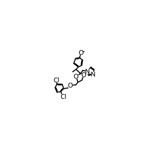 COc1ccc(C(C)C2(Cn3ccnc3)OCC(COCc3cc(Cl)ccc3Cl)O2)cc1